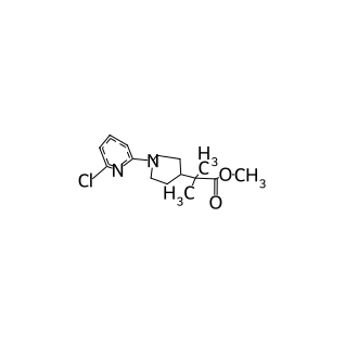 COC(=O)C(C)(C)C1CCN(c2cccc(Cl)n2)CC1